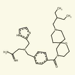 CCC(CC)CN1CCC2(CC1)CN(C(=O)c1ccc(CN(CC(=N)N)Cc3ncc[nH]3)cc1)CCO2